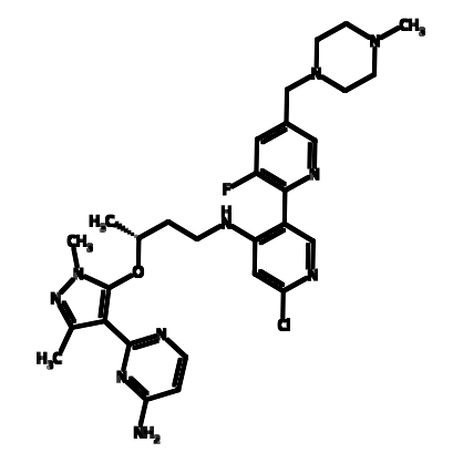 Cc1nn(C)c(O[C@H](C)CCNc2cc(Cl)ncc2-c2ncc(CN3CCN(C)CC3)cc2F)c1-c1nccc(N)n1